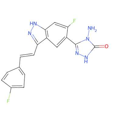 Nn1c(-c2cc3c(C=Cc4ccc(F)cc4)n[nH]c3cc2F)n[nH]c1=O